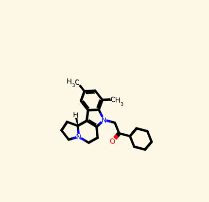 Cc1cc(C)c2c(c1)c1c(n2CC(=O)C2CCCCC2)CCN2CCC[C@H]12